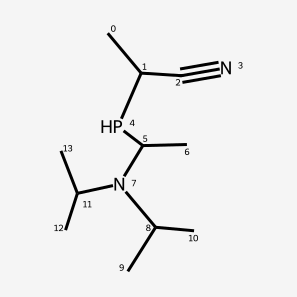 CC(C#N)PC(C)N(C(C)C)C(C)C